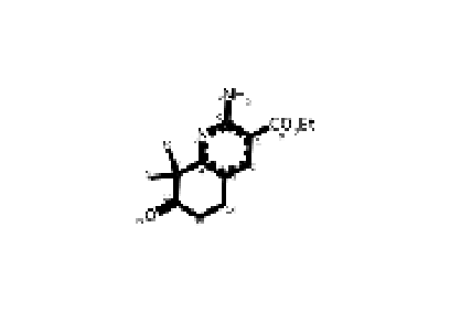 CCOC(=O)c1cc2c(nc1N)C(C)(C)C(=O)CC2